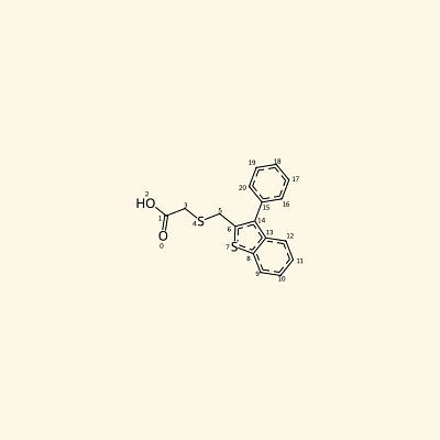 O=C(O)CSCc1sc2ccccc2c1-c1ccccc1